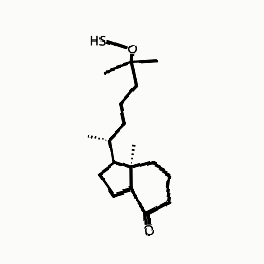 C[C@H](CCCC(C)(C)OS)C1CCC2C(=O)CCC[C@@]21C